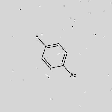 CC(=O)c1[c]cc(F)cc1